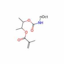 C=C(C)C(=O)OC(C)C(C)OC(=O)NCCCCCCCC